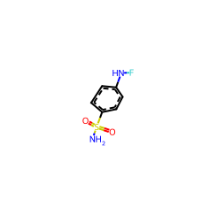 NS(=O)(=O)c1ccc(NF)cc1